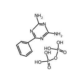 Nc1nc(N)nc(-c2ccccc2)n1.O=P(O)(O)OP(=O)(O)O